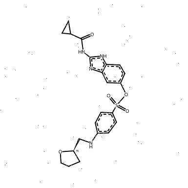 O=C(Nc1nc2cc(OS(=O)(=O)c3ccc(NC[C@H]4CCCO4)cc3)ccc2[nH]1)C1CC1